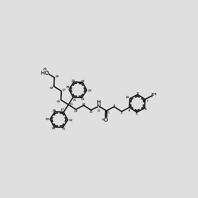 O=C(CCc1ccc(F)cc1)NCCCC(CCCCO)(c1ccccc1)c1ccccc1